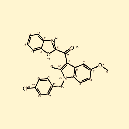 COc1ccc2c(c1)c(C(=O)c1nc3ccccc3o1)c(C)n2Cc1ccc(Cl)cc1